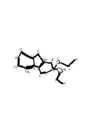 CCOC1(OCC)C=CC2=C(Cc3ccccc32)C1